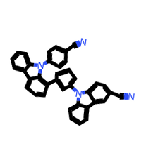 N#Cc1ccc(-n2c3ccccc3c3cccc(-c4cccc(-n5c6ccccc6c6cc(C#N)ccc65)c4)c32)cc1